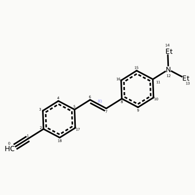 C#Cc1ccc(/C=C/c2ccc(N(CC)CC)cc2)cc1